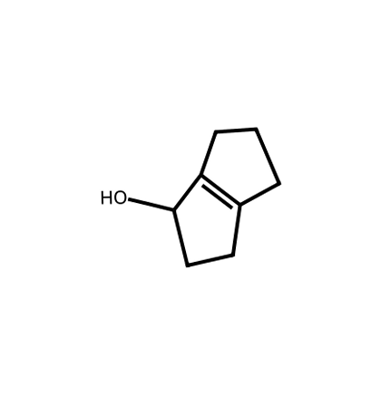 OC1CCC2=C1CCC2